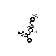 CS(=O)(=O)c1ccc(CN2CCC3(CCN(CC4CN(S(=O)(=O)C5CC5)CC4c4ccccc4)CC3)C2=O)cc1.Cl